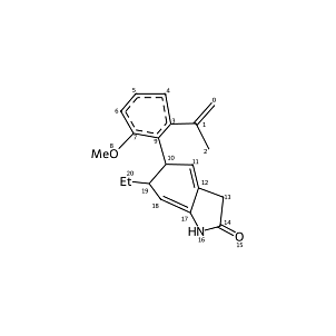 C=C(C)c1cccc(OC)c1C1C=C2CC(=O)NC2=CC1CC